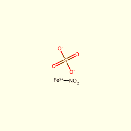 O=S(=O)([O-])[O-].O=[N+]([O-])[Fe+2]